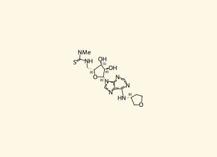 CNC(=S)NC[C@H]1O[C@@H](n2cnc3c(N[C@@H]4CCOC4)ncnc32)[C@H](O)[C@@H]1O